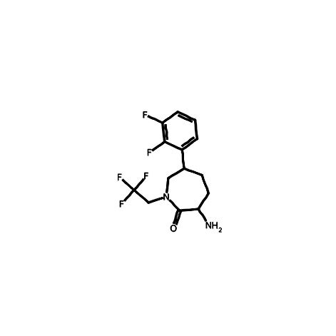 NC1CCC(c2cccc(F)c2F)CN(CC(F)(F)F)C1=O